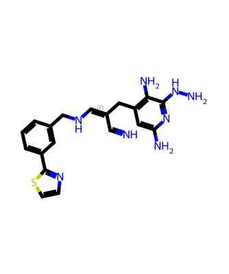 N=C/C(=C\NCc1cccc(-c2nccs2)c1)Cc1cc(N)nc(NN)c1N